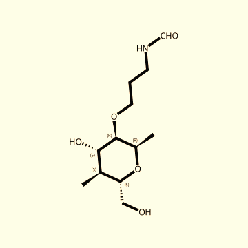 C[C@H]1[C@H](O)[C@@H](OCCCNC=O)[C@@H](C)O[C@@H]1CO